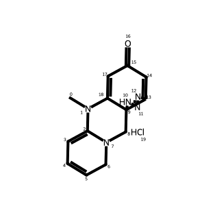 CN1C2=CC=CCN2CC23NN=NC2=CC(=O)C=C13.Cl